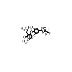 CCCc1c(Oc2c(C)cc(-c3noc(C(F)(F)F)n3)cc2C)ccn(C)c1=O